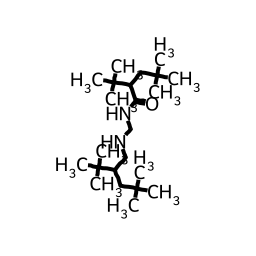 CC(C)(C)CC(CNCNC(=O)C(CC(C)(C)C)C(C)(C)C)C(C)(C)C